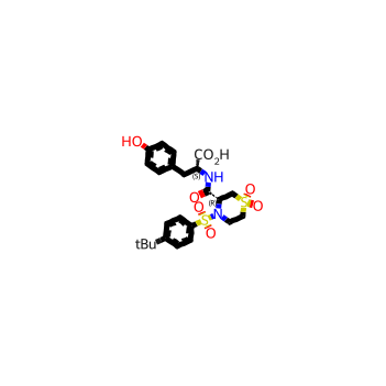 CC(C)(C)c1ccc(S(=O)(=O)N2CCS(=O)(=O)C[C@H]2C(=O)N[C@@H](Cc2ccc(O)cc2)C(=O)O)cc1